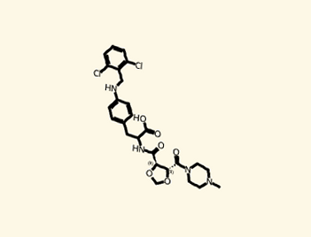 CN1CCN(C(=O)[C@@H]2OCO[C@H]2C(=O)NC(Cc2ccc(NCc3c(Cl)cccc3Cl)cc2)C(=O)O)CC1